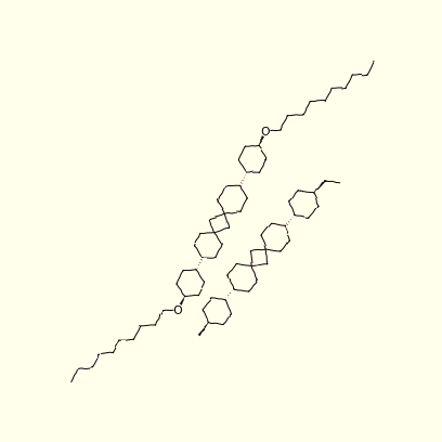 CCCCCCCCCCO[C@H]1CC[C@H](C2CCC3(CC2)CC2(CCC([C@H]4CC[C@H](OCCCCCCCCCC)CC4)CC2)C3)CC1.CC[C@H]1CC[C@H](C2CCC3(CC2)CC2(CCC([C@H]4CC[C@H](C)CC4)CC2)C3)CC1